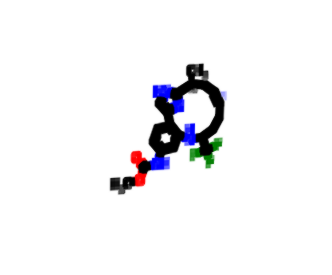 COC(=O)Nc1ccc2c(c1)NC(C(F)(F)F)CC/C=C\C[C@H](C)c1nc-2c[nH]1